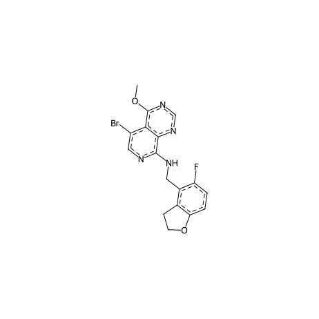 COc1ncnc2c(NCc3c(F)ccc4c3CCO4)ncc(Br)c12